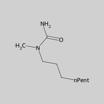 [CH2]N(CCCCCCCC)C(N)=O